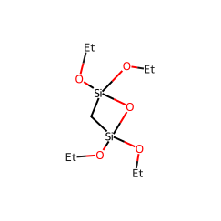 CCO[Si]1(OCC)C[Si](OCC)(OCC)O1